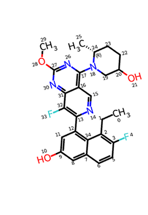 CCc1c(F)ccc2cc(O)cc(-c3ncc4c(N5CC(O)CC[C@H]5C)nc(OC)nc4c3F)c12